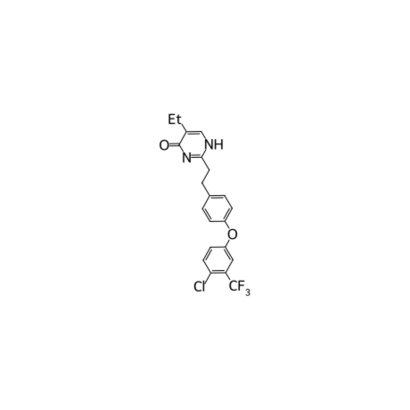 CCc1c[nH]c(CCc2ccc(Oc3ccc(Cl)c(C(F)(F)F)c3)cc2)nc1=O